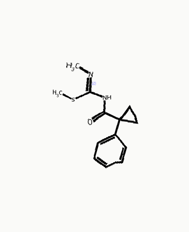 C/N=C(/NC(=O)C1(c2ccccc2)CC1)SC